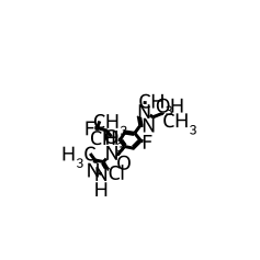 Cc1n[nH]c(Cl)c1NC(=O)c1cc(F)c(-c2cn(C)c(C(C)O)n2)cc1OCC(C)(C)F